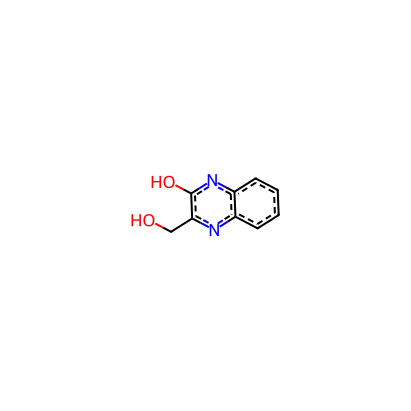 OCc1nc2ccccc2nc1O